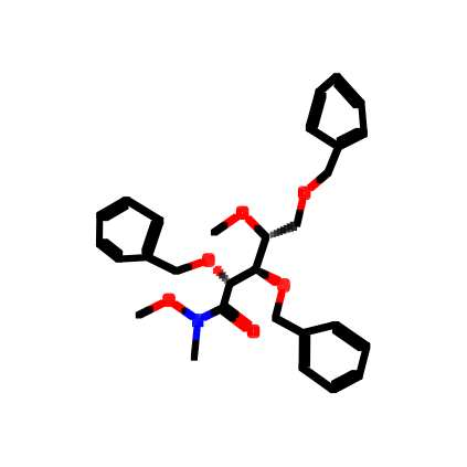 CO[C@H](COCc1ccccc1)[C@@H](OCc1ccccc1)[C@@H](OCc1ccccc1)C(=O)N(C)OC